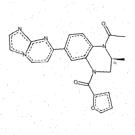 CC(=O)N1c2ccc(-c3ccn4ccnc4n3)cc2N(C(=O)c2ccco2)C[C@@H]1C